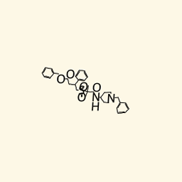 CC(C)(C(=O)NC1CCN(Cc2ccccc2)CC1)S(=O)(=O)CC(CC(=O)OCc1ccccc1)c1ccccc1